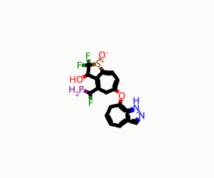 [O-][S+]1C2=CC=C(OC3=c4[nH]ncc4=CC=CC3)CC(C(F)P)=C2C(O)C1(F)F